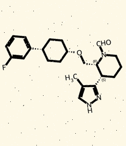 Cc1c[nH]nc1[C@H]1CCCN(C=O)[C@H]1CO[C@H]1CC[C@@H](c2cccc(F)c2)CC1